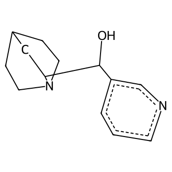 OC(c1cccnc1)C1CC2CCN1CC2